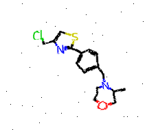 CC1COCCN1Cc1ccc(-c2nc(CCl)cs2)cc1